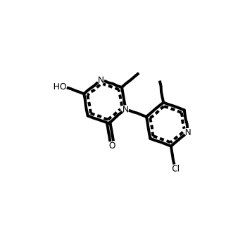 Cc1cnc(Cl)cc1-n1c(C)nc(O)cc1=O